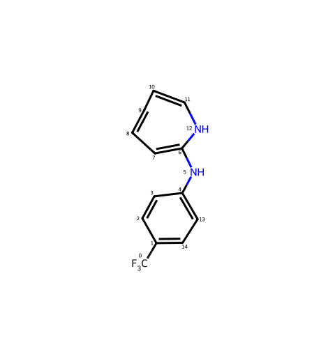 FC(F)(F)c1ccc(NC2=CC=CC=CN2)cc1